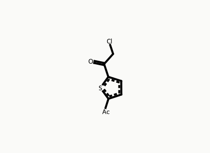 CC(=O)c1ccc(C(=O)CCl)s1